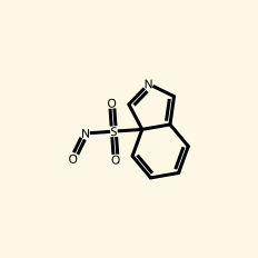 O=NS(=O)(=O)C12C=CC=CC1=CN=C2